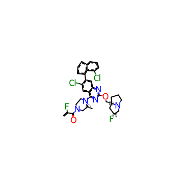 C=C(F)C(=O)N1CCN(c2nc(OC[C@@]34CCCN3C[C@H](F)C4)nc3cc(-c4cccc5cccc(Cl)c45)c(Cl)cc23)[C@@H](C)C1